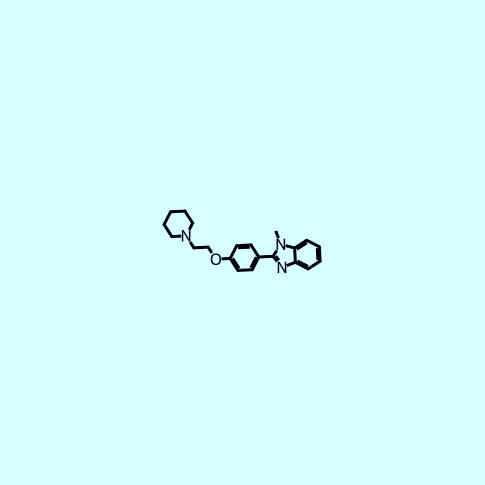 Cn1c(-c2ccc(OCCN3CCCCC3)cc2)nc2ccccc21